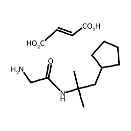 CC(C)(CC1CCCC1)NC(=O)CN.O=C(O)C=CC(=O)O